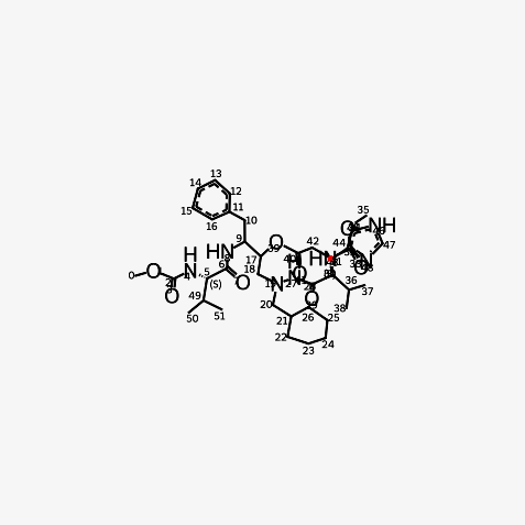 COC(=O)N[C@H](C(=O)NC(Cc1ccccc1)C(CN(CC1CCCCC1)NC(=O)[C@@H](NC(=O)OC)C(C)C)OC(=O)CCc1c[nH]cn1)C(C)C